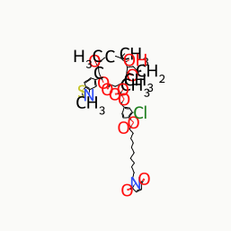 C=CCC1C(=O)C(C)(C)C(OC(=O)OCc2ccc(OC(=O)CCCCCCCCCCN3C(=O)C=CC3=O)c(Cl)c2)CC(=O)OC(c2ccc3sc(C)nc3c2)CC2OC2(C)CCCC(C)C1O